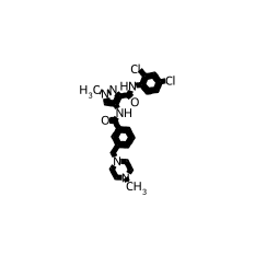 CN1CCN(Cc2cccc(C(=O)Nc3cn(C)nc3C(=O)Nc3ccc(Cl)cc3Cl)c2)CC1